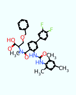 Cc1cc(C)c(NC(=O)Nc2cc(-c3ccc(F)c(F)c3)ccc2C(=O)N(C)C(COCc2ccccc2)C(=O)O)c(C)c1